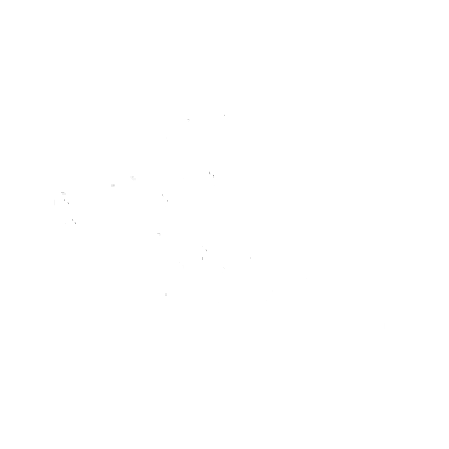 COCCOCC(=O)Nc1cccc(-c2n[nH]cc2-c2nc3ncccc3o2)c1